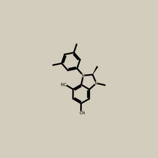 Cc1cc(C)cc(N2c3c(C#N)cc(C#N)cc3N(C)[C@@H]2C)c1